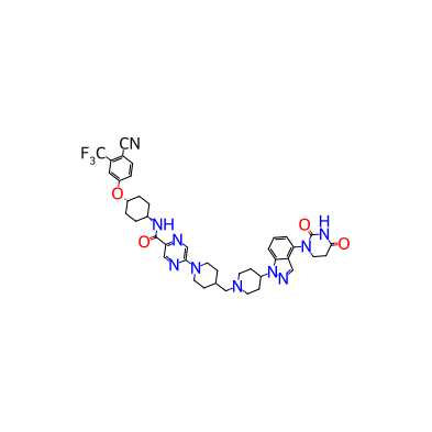 N#Cc1ccc(O[C@H]2CC[C@H](NC(=O)c3cnc(N4CCC(CN5CCC(n6ncc7c(N8CCC(=O)NC8=O)cccc76)CC5)CC4)cn3)CC2)cc1C(F)(F)F